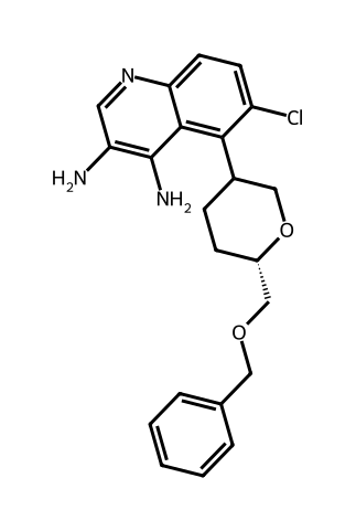 Nc1cnc2ccc(Cl)c(C3CC[C@@H](COCc4ccccc4)OC3)c2c1N